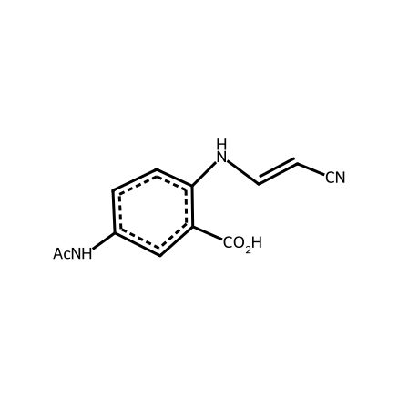 CC(=O)Nc1ccc(NC=CC#N)c(C(=O)O)c1